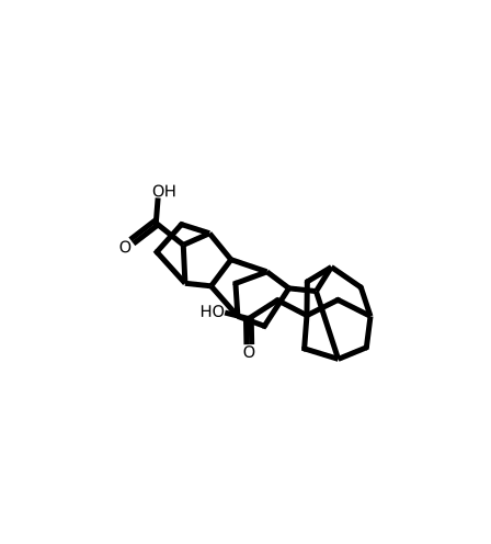 O=C(O)CC12CC3CC(C1)C(C1CC4CC1C1C5CCC(C5C(=O)O)C41)C(C3)C2